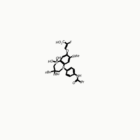 CCCCC1(CCCC)CN(c2ccc(NC(=O)C(C)C)cc2)c2cc(SC)c(OC=C(F)C(=O)O)cc2S(O)(O)C1